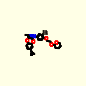 C/C=C(\Oc1ccc(C2CC2)cc1)C(=O)Nc1ccc(OCCOC2CCCCO2)c(CC)c1